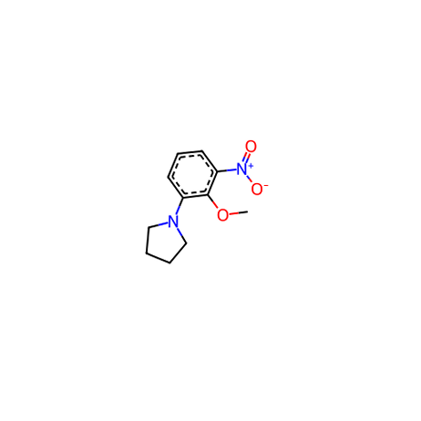 COc1c(N2CCCC2)cccc1[N+](=O)[O-]